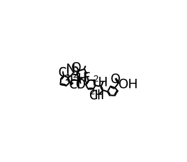 [2H]/C(=C(/[2H])c1cc(F)c(OC([2H])([2H])c2c(-c3c(Cl)cccc3Cl)noc2C(C)C)cc1Cl)c1cccc(C(=O)O)c1